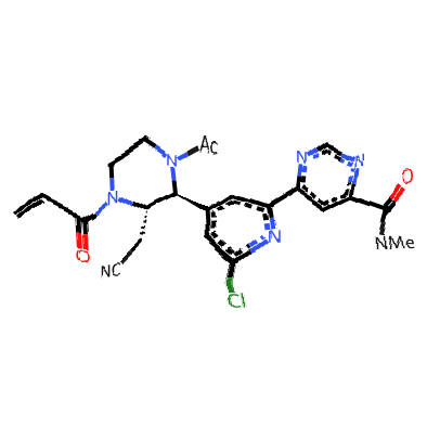 C=CC(=O)N1CCN(C(C)=O)[C@@H](c2cc(Cl)nc(-c3cc(C(=O)NC)ncn3)c2)[C@@H]1CC#N